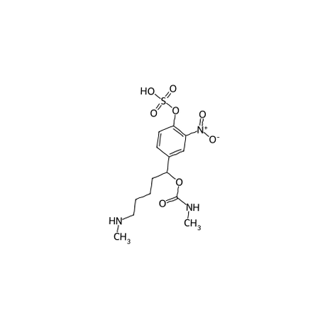 CNCCCCC(OC(=O)NC)c1ccc(OS(=O)(=O)O)c([N+](=O)[O-])c1